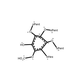 CCCCCCc1c(OC(=O)O)c(O)c(OCCCCC)c(OCCCCC)c1OCCCCC